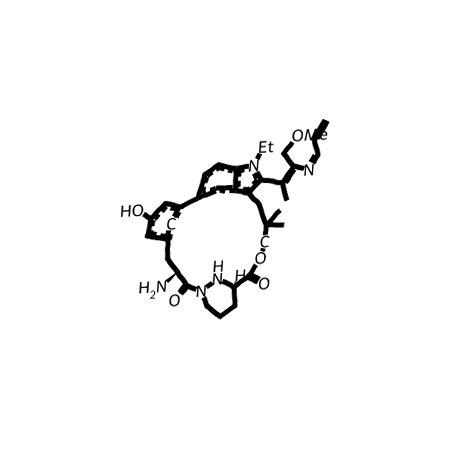 C=C/C=N\C(COC)=C(/C)c1c2c3cc(ccc3n1CC)-c1cc(O)cc(c1)C[C@H](N)C(=O)N1CCC[C@H](N1)C(=O)OCC(C)(C)C2